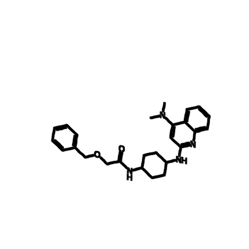 CN(C)c1cc(NC2CCC(NC(=O)COCc3ccccc3)CC2)nc2ccccc12